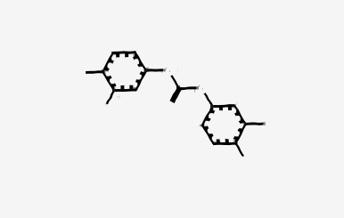 Cc1ccc(NC(=O)Nc2ccc(F)c(F)c2)cc1F